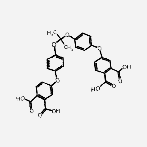 CC(C)(Oc1ccc(Oc2ccc(C(=O)O)c(C(=O)O)c2)cc1)Oc1ccc(Oc2ccc(C(=O)O)c(C(=O)O)c2)cc1